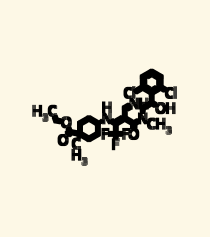 CCOC(=O)[C@]1(C)CC[C@@H](N/C(=C(\C=N)C(=O)N(C)CC(O)c2c(Cl)cccc2Cl)C(F)(F)F)CC1